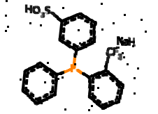 O=S(=O)(O)c1cccc(P(c2ccccc2)c2ccccc2C(F)(F)F)c1.[NaH]